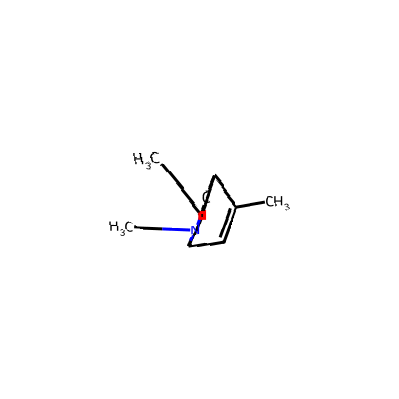 CC1=CC2CC(C)C1CN2C